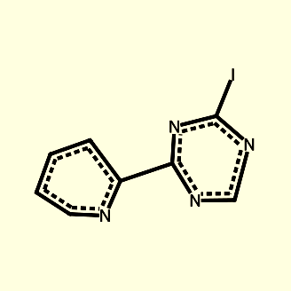 Ic1ncnc(-c2ccccn2)n1